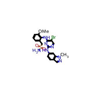 COc1cccc(CS(N)(=O)=O)c1Nc1nc(Nc2ccc3cnn(C)c3c2)ncc1Br